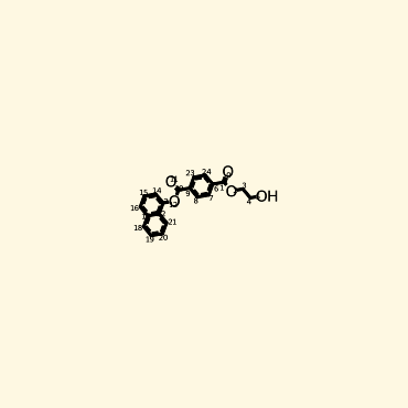 O=C(OCCO)c1ccc(C(=O)Oc2cccc3ccccc23)cc1